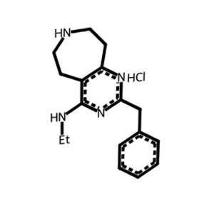 CCNc1nc(Cc2ccccc2)nc2c1CCNCC2.Cl